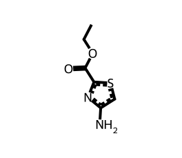 CCOC(=O)c1nc(N)cs1